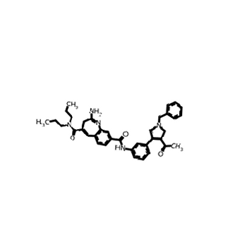 CCCN(CCC)C(=O)C1=Cc2ccc(C(=O)Nc3cccc(C4CN(Cc5ccccc5)CC4C(C)=O)c3)cc2N=C(N)C1